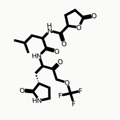 CC(C)CC(NC(=O)C1CCC(=O)O1)C(=O)NC(C[C@@H]1CCNC1=O)C(=O)COC(F)(F)F